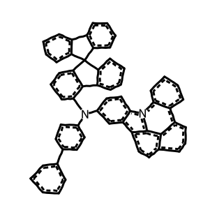 c1ccc(-c2ccc(N(c3ccc4c(c3)c3ccc5cccc6c7ccccc7n4c3c56)c3cccc4c3-c3ccccc3C43c4ccccc4-c4ccccc43)cc2)cc1